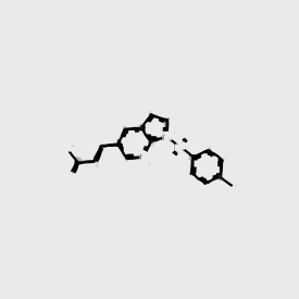 Cc1ccc(S(=O)(=O)n2ccc3cc(/C=C/C(=O)Cl)cnc32)cc1